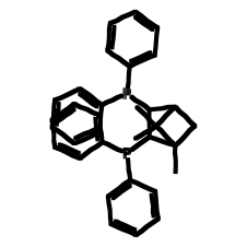 CC1(C)C2CC1(C)C(P(c1ccccc1)c1ccccc1)C2P(c1ccccc1)c1ccccc1